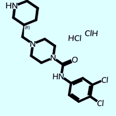 Cl.Cl.O=C(Nc1ccc(Cl)c(Cl)c1)N1CCN(C[C@@H]2CCCNC2)CC1